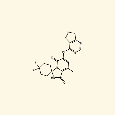 Cc1cc(Nc2ncnc3c2CNC3)c(=O)n2c1C(=O)NC21CCC(F)(F)CC1